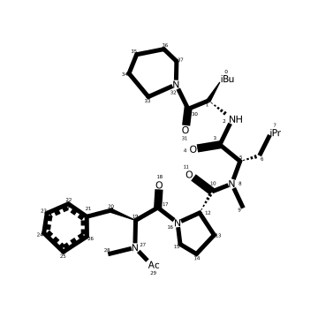 CC[C@H](C)[C@H](NC(=O)[C@H](CC(C)C)N(C)C(=O)[C@@H]1CCCN1C(=O)[C@H](Cc1ccccc1)N(C)C(C)=O)C(=O)N1CCCCC1